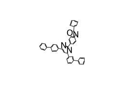 c1ccc(-c2ccc(-c3cc(-c4cccc(-c5ccccc5)c4)nc(-c4ccc5nc(-c6ccccc6)oc5c4)n3)cc2)cc1